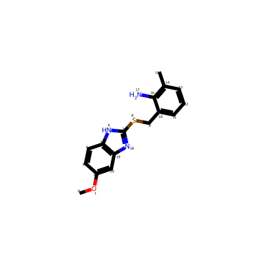 COc1ccc2[nH]c(SCc3cccc(C)c3N)nc2c1